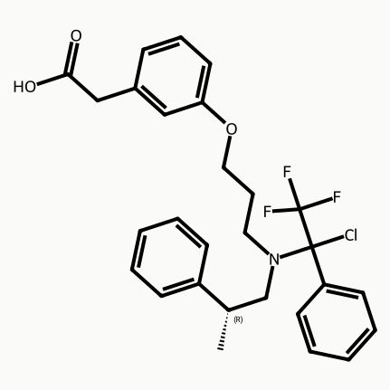 C[C@@H](CN(CCCOc1cccc(CC(=O)O)c1)C(Cl)(c1ccccc1)C(F)(F)F)c1ccccc1